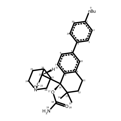 CCCCc1ccc(-c2ccc3c(c2)CCC(C)(C)[C@]3(OC(N)=O)[C@@H]2CN3CCC2CC3)cc1